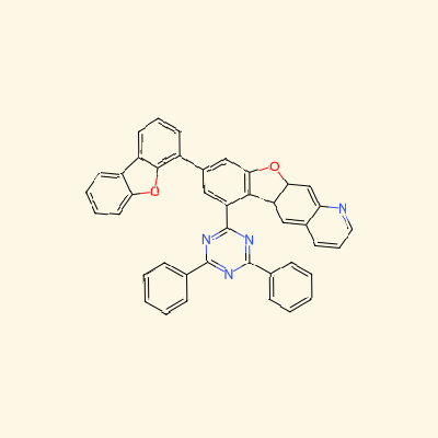 C1=c2cccnc2=CC2Oc3cc(-c4cccc5c4oc4ccccc45)cc(-c4nc(-c5ccccc5)nc(-c5ccccc5)n4)c3C12